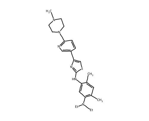 CCN(CC)c1cc(Nc2nc(-c3ccc(N4CCN(C)CC4)nc3)cs2)c(C)cc1C